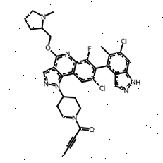 CC#CC(=O)N1CCC(n2ncc3c(OCC4CCCN4C)nc4c(F)c(-c5c(C)c(Cl)cc6[nH]ncc56)c(Cl)cc4c32)CC1